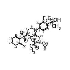 C[C@](O)(c1ccc(N2CCN(S(=O)(=O)C3=CC=CCC3=S)C[C@@H]2CN(C2CC2)S(C)(=O)=O)cc1)C(F)(F)F